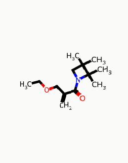 C=C(COCC)C(=O)N1CC(C)(C)C1(C)C